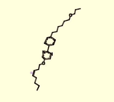 CCCC/C=C\CCOc1cnc(-c2ccc(CCCCCCOCCC)cc2)nc1